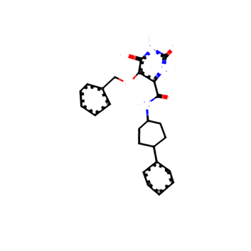 O=C(NC1CCC(c2ccccc2)CC1)c1[nH]c(=O)[nH]c(=O)c1OCc1ccccc1